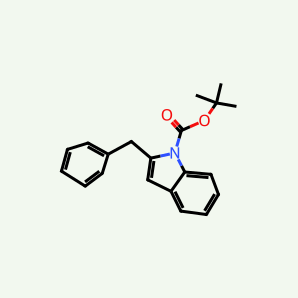 CC(C)(C)OC(=O)n1c(Cc2ccccc2)cc2ccccc21